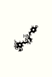 COc1cc(C=Cc2nccc(NCCc3ccc(F)cc3)n2)cc(OC)c1OC